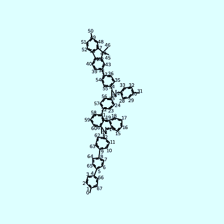 Cc1ccc(-c2ccc(-c3ccc(-n4c5ccccc5c5c(-c6ccc(N(c7ccc(C)cc7)c7ccc(-c8ccc9c(c8)C(C)(C)c8cc(C)ccc8-9)cc7)cc6)cccc54)cc3)cc2)cc1